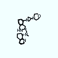 CN(C[C@@H]1Cc2c(cccc2N2CC(N3CCOCC3)C2)CN1)[C@H]1CCCc2cccnc21